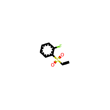 C=CS(=O)(=O)c1ccccc1F